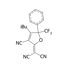 CCC(C)C1=C(C#N)C(=C(C#N)C#N)OC1(c1ccccc1)C(F)(F)F